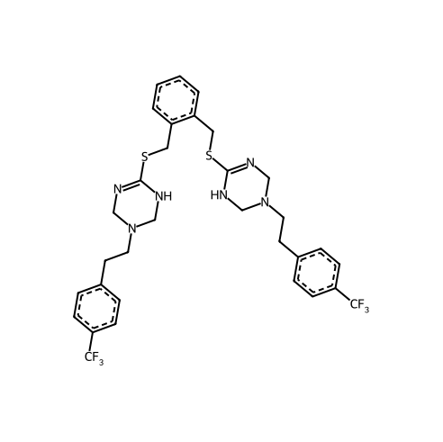 FC(F)(F)c1ccc(CCN2CN=C(SCc3ccccc3CSC3=NCN(CCc4ccc(C(F)(F)F)cc4)CN3)NC2)cc1